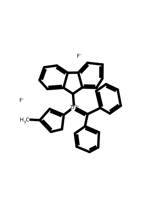 CC1=CC[C]([Zr+2](=[C](c2ccccc2)c2ccccc2)[CH]2c3ccccc3-c3ccccc32)=C1.[F-].[F-]